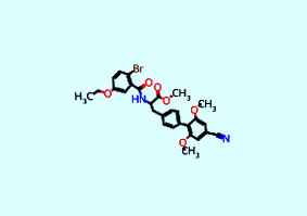 CCOc1ccc(Br)c(C(=O)NC(Cc2ccc(-c3c(OC)cc(C#N)cc3OC)cc2)C(=O)OC)c1